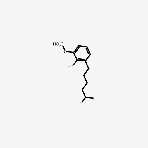 O=C(O)Oc1cccc(CCCCC(F)F)c1O